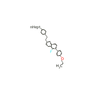 C=CCOc1ccc(-c2ccc3cc(CCc4ccc(CCCCCCC)cc4)ccc3c2F)cc1